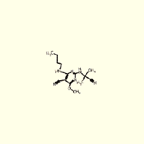 CCCCNc1nc(NC(C)(C)C#N)nc(OC)c1C#N